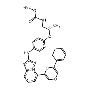 C[C@@H](CNC(=O)OC(C)(C)C)Oc1ccc(Nc2nc3cccc(C4=COC=C(C5=CC=CCC5)O4)n3n2)cc1